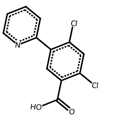 O=C(O)c1cc(-c2ccccn2)c(Cl)cc1Cl